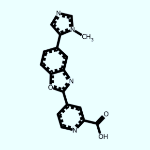 Cn1cncc1-c1ccc2oc(-c3ccnc(C(=O)O)c3)nc2c1